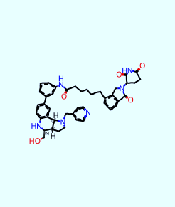 O=C1CCC(N2Cc3c(CCCCCC(=O)Nc4cccc(-c5ccc6c(c5)[C@H]5[C@H](CCN5Cc5ccncc5)[C@@H](CO)N6)c4)cccc3C2=O)C(=O)N1